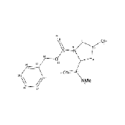 CNC(=O)C1CC(O)CN1C(=O)OCc1ccccc1